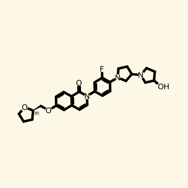 O=c1c2ccc(OC[C@H]3CCCO3)cc2ccn1-c1ccc(N2CCC(N3CCC(O)C3)C2)c(F)c1